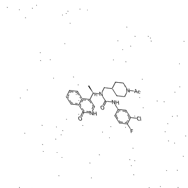 CC(=O)N1CCC(CN(C(=O)Nc2ccc(F)c(Cl)c2)[C@H](C)c2c[nH]c(=O)c3ccccc23)CC1